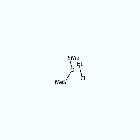 CCCl.CSOSC